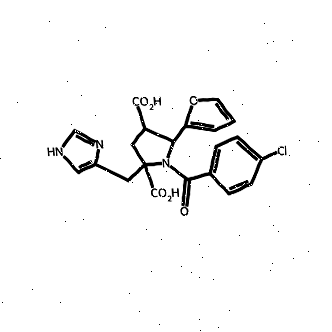 O=C(O)C1CC(Cc2c[nH]cn2)(C(=O)O)N(C(=O)c2ccc(Cl)cc2)C1c1ccco1